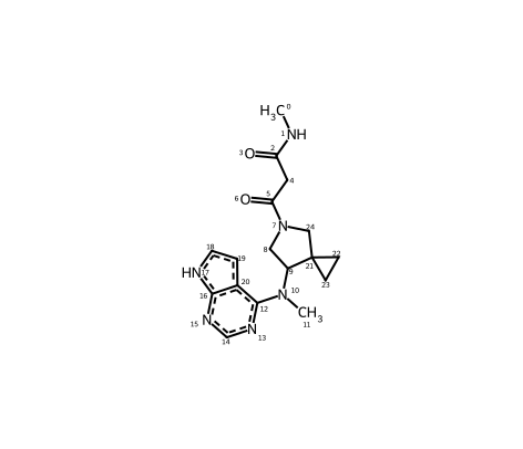 CNC(=O)CC(=O)N1CC(N(C)c2ncnc3[nH]ccc23)C2(CC2)C1